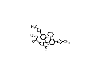 CC1CN(c2ccc3c(c2)[Si]2(CCCCC2)c2cc(N4CC(C)C4)ccc2C32OC(=O)c3ccc(C(=O)OC(C)(C)C)cc32)C1